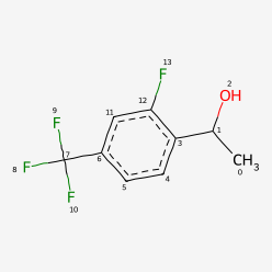 CC(O)c1ccc(C(F)(F)F)cc1F